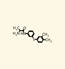 Cc1ccc(Sc2cccc(NC(=O)C(C)N)c2)cc1C